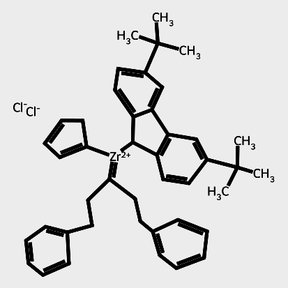 CC(C)(C)c1ccc2c(c1)-c1cc(C(C)(C)C)ccc1[CH]2[Zr+2]([C]1=CC=CC1)=[C](CCc1ccccc1)CCc1ccccc1.[Cl-].[Cl-]